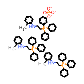 Cc1ccccc1NCC[P+](c1ccccc1)(c1ccccc1)c1ccccc1.Cc1ccccc1NCC[P+](c1ccccc1)(c1ccccc1)c1ccccc1.Cc1ccccc1NCC[P+](c1ccccc1)(c1ccccc1)c1ccccc1.O=P([O-])([O-])[O-]